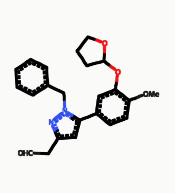 COc1ccc(-c2cc(CC=O)nn2Cc2ccccc2)cc1OC1CCCO1